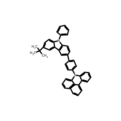 CC(C)(C)c1ccc2c(c1)c1cc(-c3ccc(N(c4ccccc4)c4ccccc4-c4ccccc4)cc3)ccc1n2-c1ccccc1